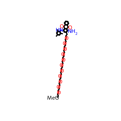 COCCOCCOCCOCCOCCOCCOCCOCCOCCOCCOCCOCCc1cc(Nc2c(C)cc(C)cc2C)c2c(c1N)C(=O)c1ccccc1C2=O